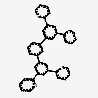 c1ccc(-c2cc(-c3cccc(-c4cc(-c5ccccn5)cc(-c5ccccn5)c4)c3)cc(-c3ccccn3)c2)nc1